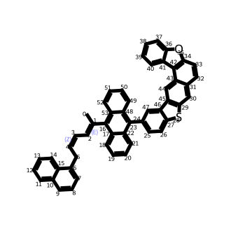 C/C(=C\C=C/Cc1cccc2ccccc12)c1c2ccccc2c(-c2ccc3sc4cc5ccc6oc7ccccc7c6c5cc4c3c2)c2ccccc12